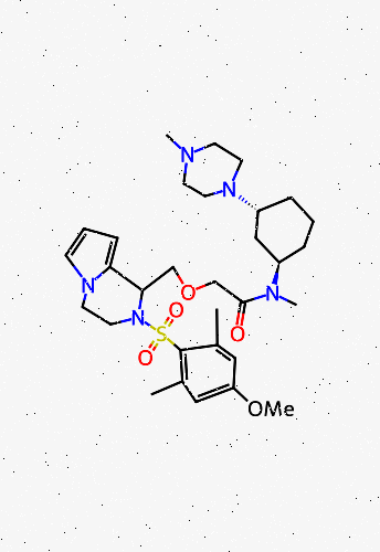 COc1cc(C)c(S(=O)(=O)N2CCn3cccc3C2COCC(=O)N(C)[C@@H]2CCC[C@@H](N3CCN(C)CC3)C2)c(C)c1